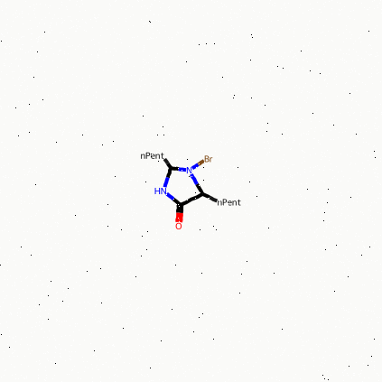 CCCCCC1NC(=O)C(CCCCC)N1Br